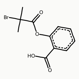 CC(C)(Br)C(=O)Oc1ccccc1C(=O)O